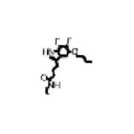 CCCCOc1cc2c(CCCC(=O)NCC)c[nH]c2c(F)c1F